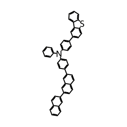 c1ccc(N(c2ccc(-c3ccc4ccc(-c5ccc6ccccc6c5)cc4c3)cc2)c2ccc(-c3ccc4sc5ccccc5c4c3)cc2)cc1